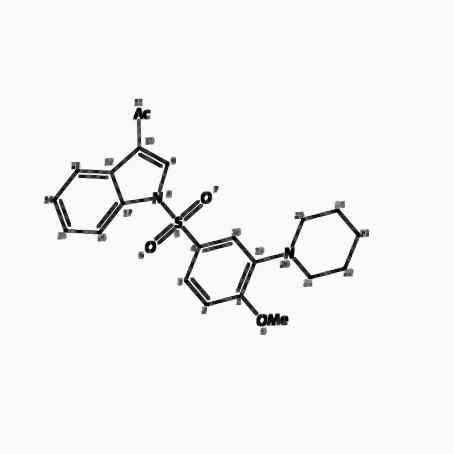 COc1ccc(S(=O)(=O)n2cc(C(C)=O)c3ccccc32)cc1N1CCCCC1